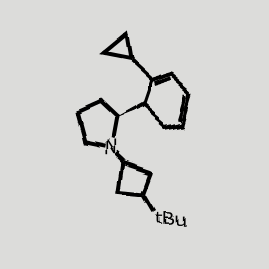 CC(C)(C)C1CC(N2CCC[C@H]2C2CC=CC=C2C2CC2)C1